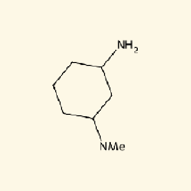 CNC1CCCC(N)C1